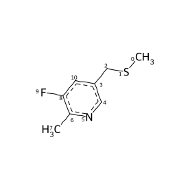 CSCc1cnc(C)c(F)c1